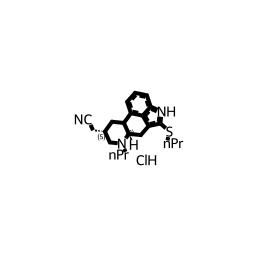 CCCSc1[nH]c2cccc3c2c1C[C@@H]1C3C[C@@H](CC#N)CN1CCC.Cl